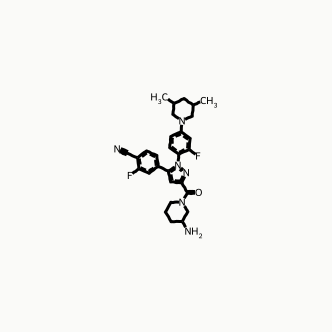 CC1CC(C)CN(c2ccc(-n3nc(C(=O)N4CCCC(N)C4)cc3-c3ccc(C#N)c(F)c3)c(F)c2)C1